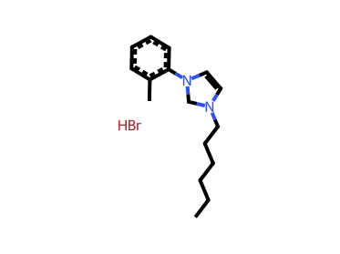 Br.CCCCCCN1C=CN(c2ccccc2C)C1